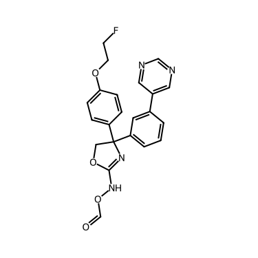 O=CONC1=NC(c2ccc(OCCF)cc2)(c2cccc(-c3cncnc3)c2)CO1